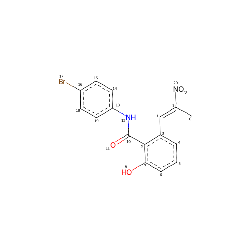 CC(=Cc1cccc(O)c1C(=O)Nc1ccc(Br)cc1)[N+](=O)[O-]